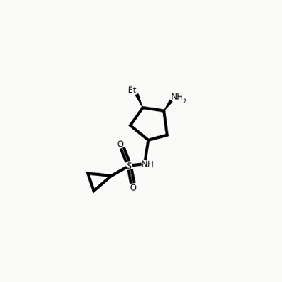 CC[C@@H]1CC(NS(=O)(=O)C2CC2)C[C@@H]1N